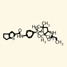 C=CC(=O)NC1CC(C)(C)N(S(=O)(=O)c2ccc(NC(=O)c3cc4c(s3)CCC4)cc2)C1(C)C